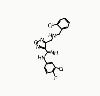 N=C(Nc1ccc(F)c(Cl)c1)c1nonc1CNCc1ccccc1Cl